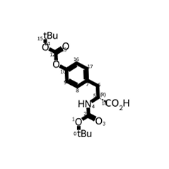 CC(C)(C)OC(=O)N[C@H](Cc1ccc(OC(=O)OC(C)(C)C)cc1)C(=O)O